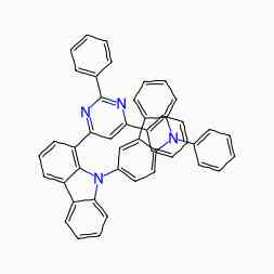 c1ccc(-c2cc(-c3cccc4c5ccccc5n(-c5ccc6c(c5)c5ccccc5n6-c5ccccc5)c34)nc(-c3ccccc3)n2)cc1